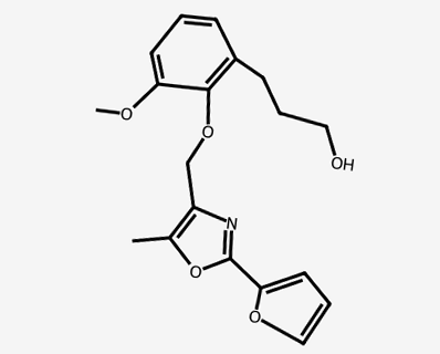 COc1cccc(CCCO)c1OCc1nc(-c2ccco2)oc1C